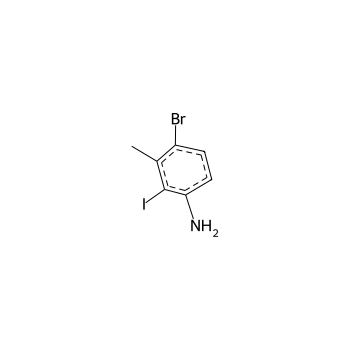 Cc1c(Br)ccc(N)c1I